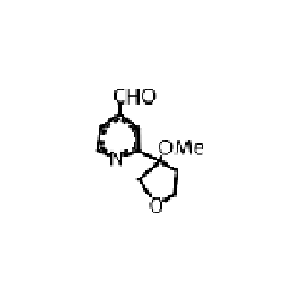 COC1(c2cc(C=O)ccn2)CCOC1